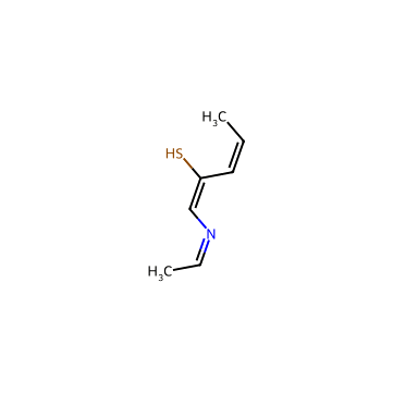 C\C=C/C(S)=C\N=C/C